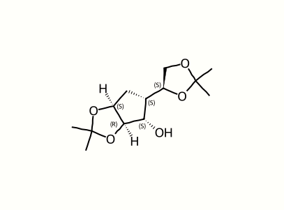 CC1(C)O[C@@H]2[C@@H](O)[C@@H]([C@H]3COC(C)(C)O3)C[C@@H]2O1